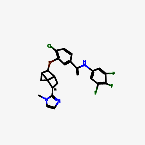 C=C(Nc1cc(F)c(F)c(F)c1)c1ccc(Cl)c(SC2C3C[C@H](c4nccn4C)C34CC24)c1